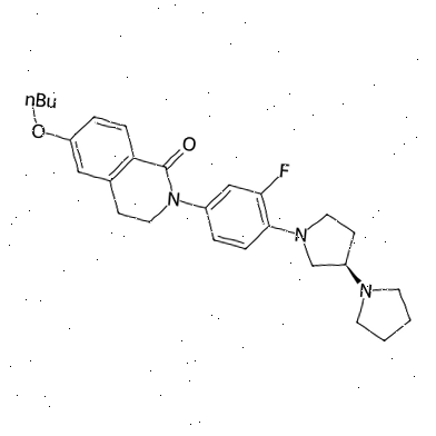 CCCCOc1ccc2c(c1)CCN(c1ccc(N3CC[C@@H](N4CCCC4)C3)c(F)c1)C2=O